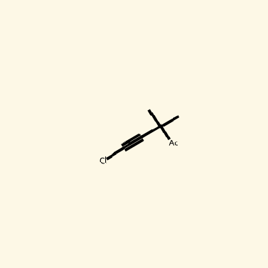 CC(=O)C(C)(C)C#CCl